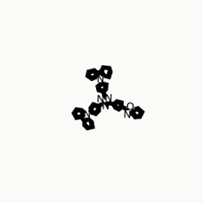 C1=CC2c3ccccc3N(c3ccc(-c4nc(-c5ccc(-c6nc7ccccc7o6)cc5)nc(-c5ccc(-n6c7c(c8ccccc86)CCC=C7)cc5)n4)cc3)C2C=C1